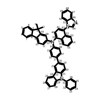 CC1(C)c2ccccc2-c2ccc(N(c3ccc(-c4ccc5c(c4)c4ccccc4n5-c4ccccc4)cc3)c3ccc(-n4cnc5ccccc54)c4ccccc34)cc21